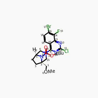 COC[C@@]12CC[C@@H](CN(c3nc(Cl)nc4c(F)c(Br)ccc34)C1)N2C(=O)OC(C)(C)C